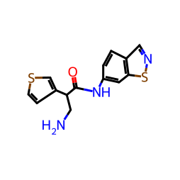 NCC(C(=O)Nc1ccc2cnsc2c1)c1ccsc1